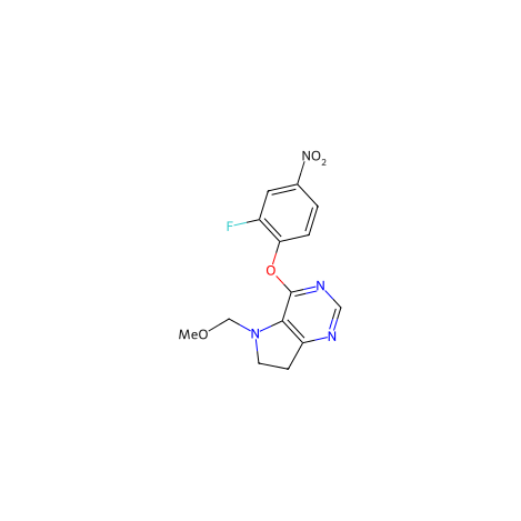 COCN1CCc2ncnc(Oc3ccc([N+](=O)[O-])cc3F)c21